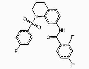 O=C(Nc1ccc2c(c1)N(S(=O)(=O)c1ccc(F)cc1)CCC2)c1ccc(F)cc1F